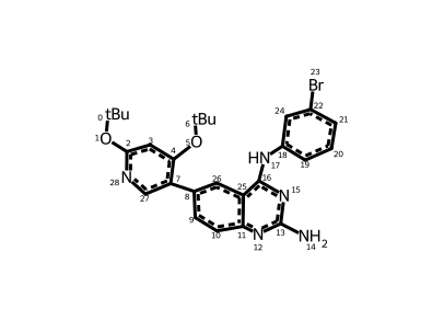 CC(C)(C)Oc1cc(OC(C)(C)C)c(-c2ccc3nc(N)nc(Nc4cccc(Br)c4)c3c2)cn1